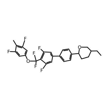 CCC1CCC(c2ccc(-c3cc(F)c(C(F)(F)Oc4cc(F)c(C)c(F)c4)c(F)c3)cc2)OC1